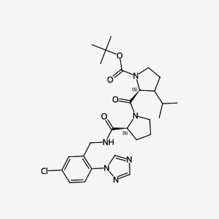 CC(C)C1CCN(C(=O)OC(C)(C)C)[C@@H]1C(=O)N1CCC[C@H]1C(=O)NCc1cc(Cl)ccc1-n1cncn1